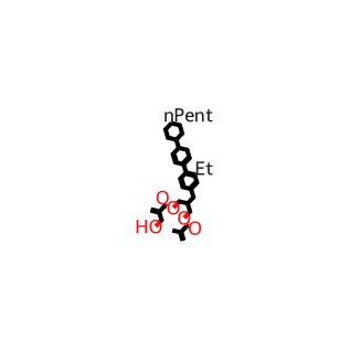 C=C(C)C(=O)OCC(COC(=O)C(=C)CO)Cc1ccc(C2=CCC(C3CCC(CCCCC)CC3)C=C2)c(CC)c1